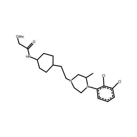 COCC(=O)NC1CCC(CCN2CCN(c3cccc(Cl)c3Cl)C(C)C2)CC1